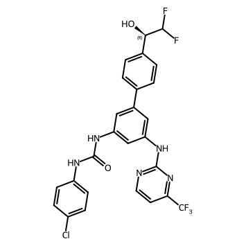 O=C(Nc1ccc(Cl)cc1)Nc1cc(Nc2nccc(C(F)(F)F)n2)cc(-c2ccc([C@@H](O)C(F)F)cc2)c1